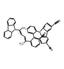 C/C(=C\C=C(/C)N1c2ccccc2C2C=CC=CC21)c1cccc(C#N)c1-c1ccccc1-n1c2ccc(C#N)cc2c2cc(C#N)ccc21